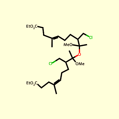 CCOC(=O)CCC(C)=CCCC(CCl)C(C)(OC)OC(C)(OC)C(CCl)CCC=C(C)CCC(=O)OCC